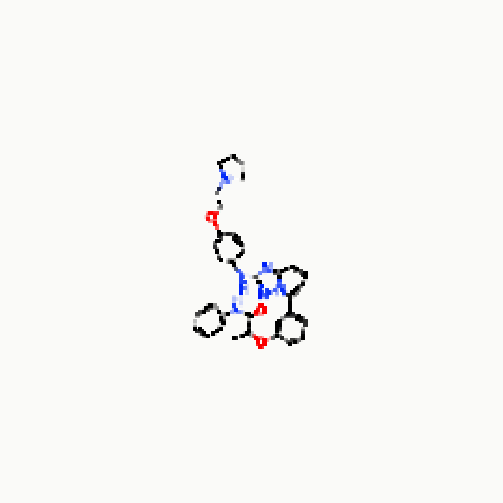 CC(Oc1cccc(-c2cccc3nc(Nc4ccc(OCCN5CCCC5)cc4)nn23)c1)C(=O)Nc1ccccc1